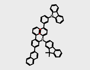 CC1(C)c2ccccc2-c2ccc(N(c3ccc(-c4cccc(-n5c6ccccc6c6ccccc65)c4)cc3)c3cc(-c4ccc5ccccc5c4)ccc3-c3ccccc3)cc21